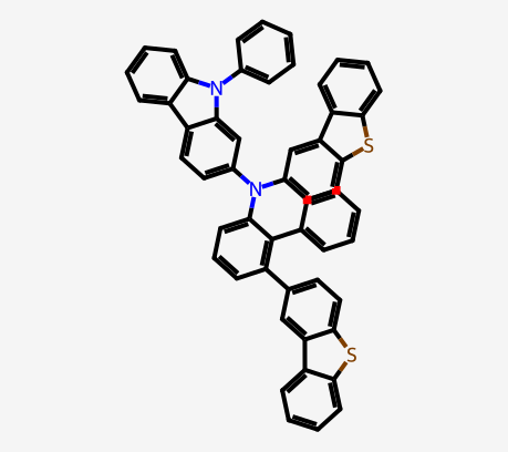 c1ccc(-c2c(-c3ccc4sc5ccccc5c4c3)cccc2N(c2ccc3sc4ccccc4c3c2)c2ccc3c4ccccc4n(-c4ccccc4)c3c2)cc1